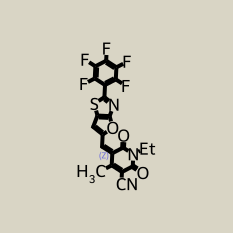 CCN1C(=O)C(C#N)=C(C)/C(=C/c2cc3sc(-c4c(F)c(F)c(F)c(F)c4F)nc3o2)C1=O